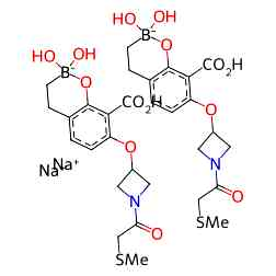 CSCC(=O)N1CC(Oc2ccc3c(c2C(=O)O)O[B-](O)(O)CC3)C1.CSCC(=O)N1CC(Oc2ccc3c(c2C(=O)O)O[B-](O)(O)CC3)C1.[Na+].[Na+]